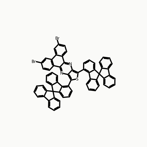 Brc1ccc2c(c1)c1cc(Br)ccc1c1nc3c(-c4cccc5c4-c4ccccc4C54c5ccccc5-c5ccccc54)sc(-c4cccc5c4-c4ccccc4C54c5ccccc5-c5ccccc54)c3nc21